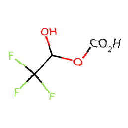 O=C(O)OC(O)C(F)(F)F